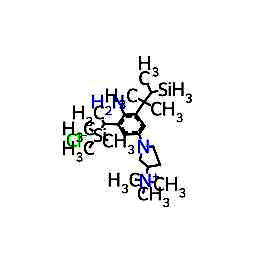 CC([SiH3])C(C)(C)c1cc(N2CCC([N+](C)(C)C)C2)cc(C(C)[Si](C)(C)C)c1N.[Cl-]